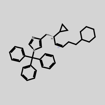 C(=C/[C@H](Cc1cn(C(c2ccccc2)(c2ccccc2)c2ccccc2)cn1)C1CC1)/CCC1CCCCC1